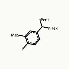 CCCCCCC(CCCCC)c1ccc(I)c(SC)c1